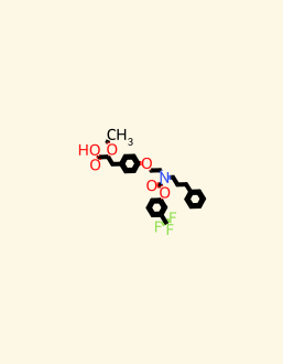 CCOC(Cc1ccc(OCCN(CCCc2ccccc2)C(=O)Oc2cccc(C(F)(F)F)c2)cc1)C(=O)O